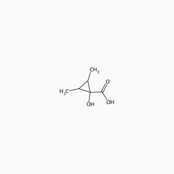 CC1C(C)C1(O)C(=O)O